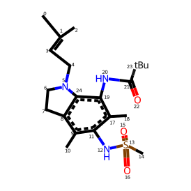 CC(C)=CCN1CCc2c(C)c(NS(C)(=O)=O)c(C)c(NC(=O)C(C)(C)C)c21